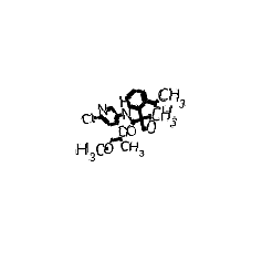 COCC(C)Oc1cc(Cl)ncc1NC(=O)C1(c2ccccc2C(C)C)COC1